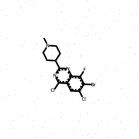 CN1CCC(c2nc(Cl)c3cc(Cl)c(Br)c(F)c3n2)CC1